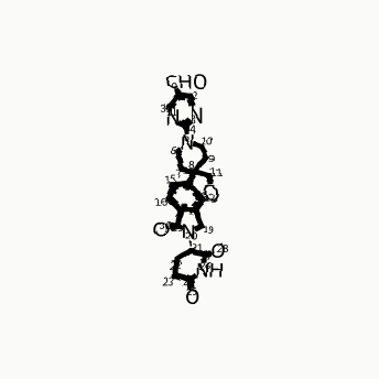 O=Cc1cnc(N2CCC3(CC2)COc2c3ccc3c2CN([C@H]2CCC(=O)NC2=O)C3=O)nc1